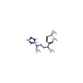 C=N/C=C\C(=C/C)C(C)CCC(C)n1ccnc1